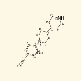 N#Cc1ccc(N2CCC(C3CCNCC3)CC2)nc1